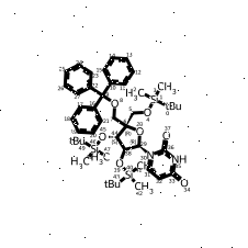 CC(C)(C)[Si](C)(C)OC[C@@]1(COC(c2ccccc2)(c2ccccc2)c2ccccc2)O[C@@H](n2ccc(=O)[nH]c2=O)C(O[Si](C)(C)C(C)(C)C)[C@@H]1O[Si](C)(C)C(C)(C)C